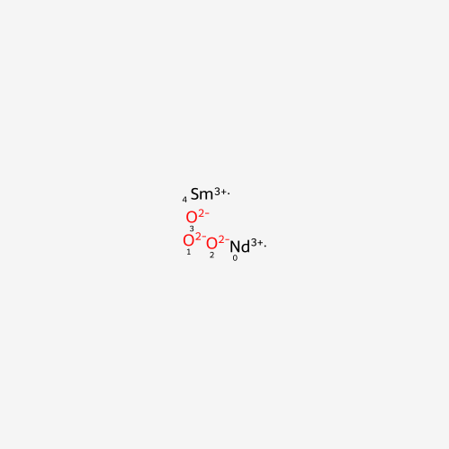 [Nd+3].[O-2].[O-2].[O-2].[Sm+3]